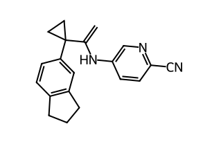 C=C(Nc1ccc(C#N)nc1)C1(c2ccc3c(c2)CCC3)CC1